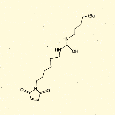 CC(C)(C)CCCCNC(O)NCCCCCCN1C(=O)C=CC1=O